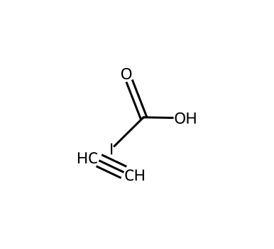 C#C.O=C(O)I